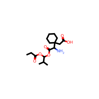 CCC(=O)OC(OC(=O)C(N)C1(CC(=O)O)CCCCC1)C(C)C